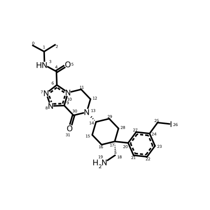 CC(C)NC(=O)c1nnc2n1CCN([C@H]1CC[C@](CN)(c3cccc(CI)c3)CC1)C2=O